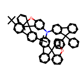 CC1C=CC=CC12Oc1ccc(N(c3ccc4c(c3)C(c3ccccc3)(c3ccccc3)c3ccccc3-4)c3ccc4c(c3)C3(c5ccccc5Oc5ccccc53)c3ccccc3-4)cc1C21c2cc(C(C)(C)C)ccc2-c2ccc(C(C)(C)C)cc21